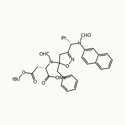 COC(=O)[C@H](CC(=O)OC(C)(C)C)N(C=O)C1(Cc2ccccc2)CC([C@H](C(C)C)N(C=O)c2ccc3ccccc3c2)=NO1